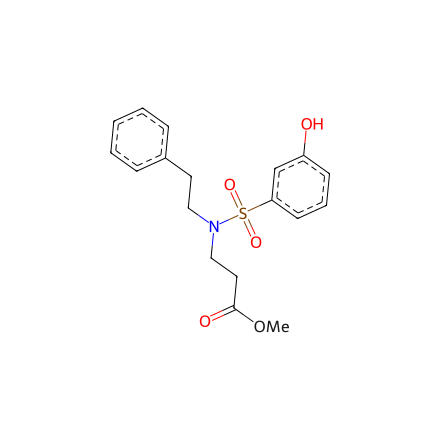 COC(=O)CCN(CCc1ccccc1)S(=O)(=O)c1cccc(O)c1